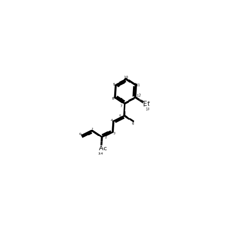 C=C/C(=C\C=C(/C)c1ccccc1CC)C(C)=O